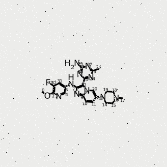 COc1ncc(Nc2nc3ccc(N4CCN(C)CC4)cn3c2-c2nc(C)nc(N)n2)cc1F